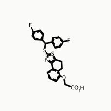 O=C(O)COc1cccc2c1CCc1sc(SC(c3ccc(F)cc3)c3ccc(F)cc3)nc1-2